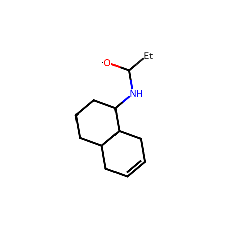 CCC([O])NC1CCCC2CC=CCC21